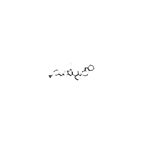 Cn1cc(-c2ccnc(N3CCn4c(cc5c4CCCC5)C3=O)c2CO)cc(NC(=N)/C=C2/CN(C3CC3)CCN2)c1=O